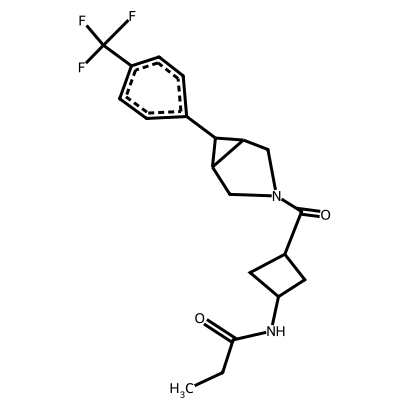 CCC(=O)NC1CC(C(=O)N2CC3C(C2)C3c2ccc(C(F)(F)F)cc2)C1